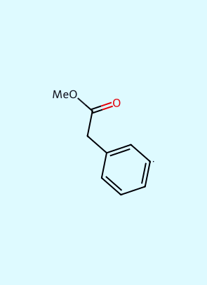 COC(=O)Cc1c[c]ccc1